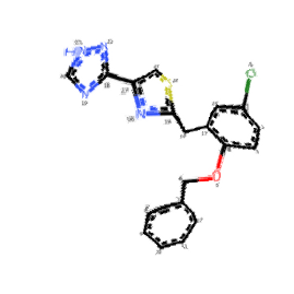 Clc1ccc(OCc2ccccc2)c(Cc2nc(-c3nc[nH]n3)cs2)c1